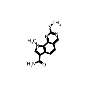 CSc1ncc2ccc3c(C(N)=O)cn(C)c3c2n1